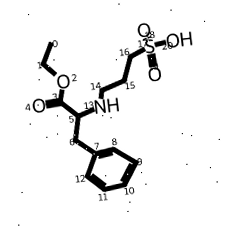 CCOC(=O)C(Cc1ccccc1)NCCCS(=O)(=O)O